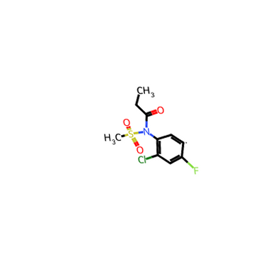 CCC(=O)N(c1c[c]c(F)cc1Cl)S(C)(=O)=O